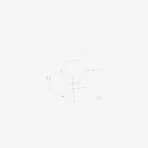 COCC12CCNCC1(c1ccc(Cl)c(Cl)c1)C2